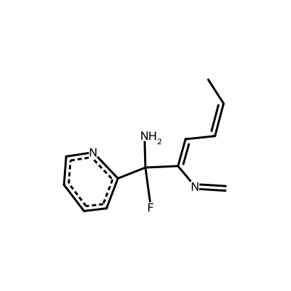 C=N/C(=C\C=C/C)C(N)(F)c1ccccn1